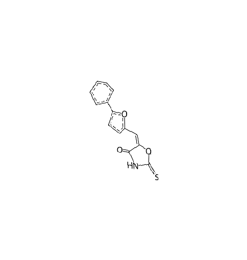 O=C1NC(=S)OC1=Cc1ccc(-c2ccccc2)o1